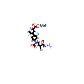 COC(=O)c1cc(-c2ccc(N3CC(C(C)C(N)=O)OC3=O)cc2F)ccn1